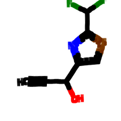 C#CC(O)c1csc(C(F)F)n1